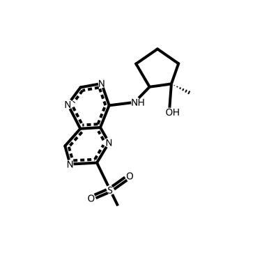 C[C@@]1(O)CCCC1Nc1ncnc2cnc(S(C)(=O)=O)nc12